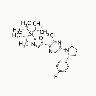 CC(C)[Si](c1ncc(-c2ncc(N3CCCC3c3ccc(F)cc3)nc2Cl)o1)(C(C)C)C(C)C